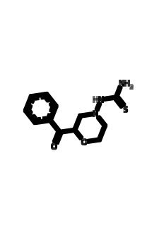 NC(=S)NN1CCOC(C(=O)c2ccccc2)C1